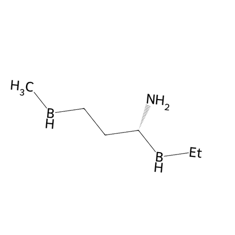 CBCC[C@H](N)BCC